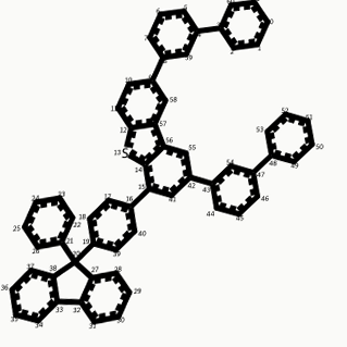 c1ccc(-c2cccc(-c3ccc4sc5c(-c6ccc(C7(c8ccccc8)c8ccccc8-c8ccccc87)cc6)cc(-c6cccc(-c7ccccc7)c6)cc5c4c3)c2)cc1